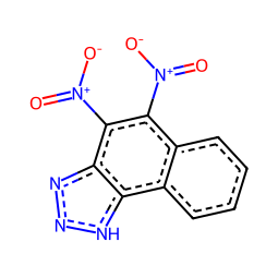 O=[N+]([O-])c1c([N+](=O)[O-])c2nn[nH]c2c2ccccc12